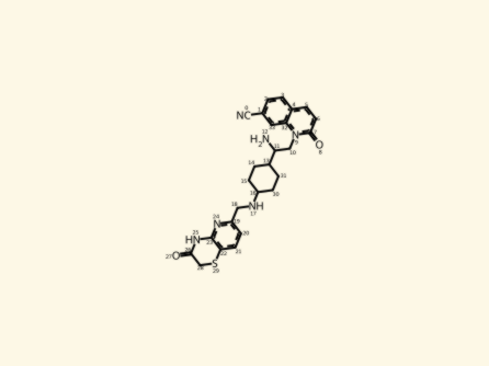 N#Cc1ccc2ccc(=O)n(CC(N)C3CCC(NCc4ccc5c(n4)NC(=O)CS5)CC3)c2c1